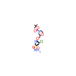 CC(C)(C)OC(=O)N1CCOC(COc2ncc(S(N)(=O)=O)cc2Cl)C1